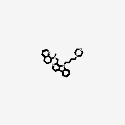 CN(Cc1nccc2c3ccccc3n(CCCCN3CCOCC3)c12)C1CCCc2cccnc21